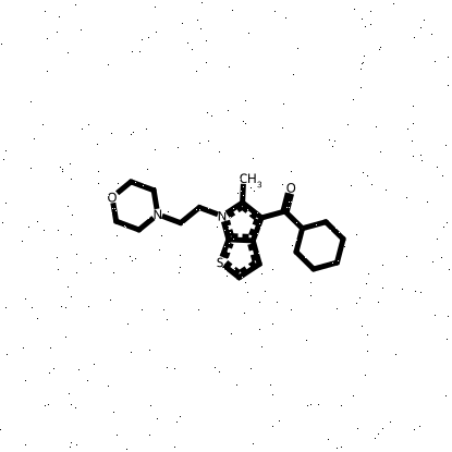 Cc1c(C(=O)C2CCCCC2)c2ccsc2n1CCN1CCOCC1